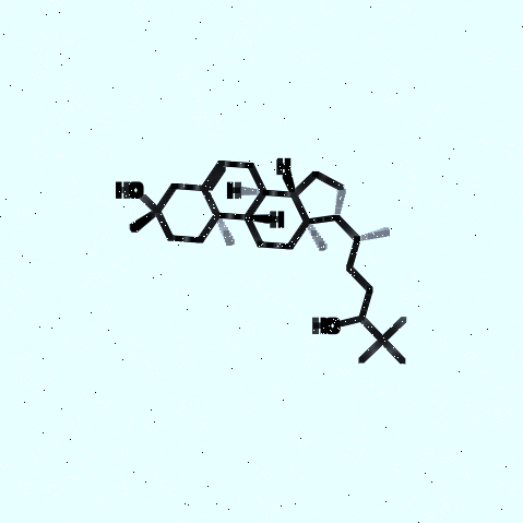 C[C@H](CCC(O)C(C)(C)C)[C@H]1CC[C@H]2[C@@H]3CC=C4C[C@@](C)(O)CC[C@]4(C)[C@H]3CC[C@]12C